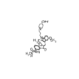 CNC(=O)Nc1ccc2c(c1)C(=O)/C(=C/c1c(C)n(CCCN3CCC(O)CC3)c3ccc(OC)cc13)O2